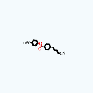 CCCc1ccc(OC(=O)[C@H]2CC[C@H](CCC=CC#N)CC2)cc1